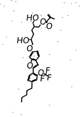 C=C(C)C(=O)OCC(CO)CCC(O)COc1ccc2cc(-c3ccc(CCCCC)cc3OC(F)(F)F)oc2c1